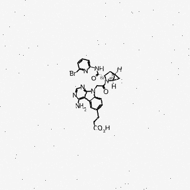 Nc1ncnc2c1c1cc(CCC(=O)O)ccc1n2CC(=O)N1[C@@H]2C[C@@H]2C[C@H]1C(=O)Nc1cccc(Br)n1